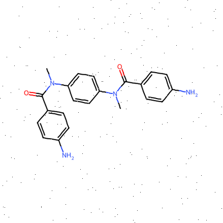 CN(C(=O)c1ccc(N)cc1)c1ccc(N(C)C(=O)c2ccc(N)cc2)cc1